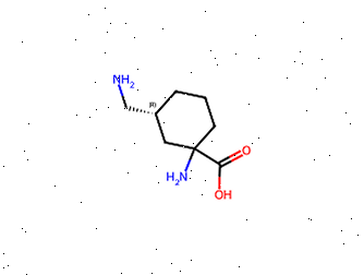 NC[C@@H]1CCCC(N)(C(=O)O)C1